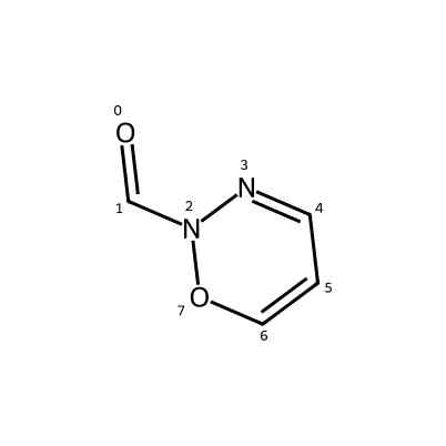 O=CN1N=CC=CO1